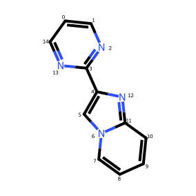 c1cnc(-c2cn3ccccc3n2)nc1